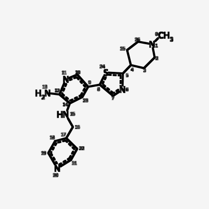 CN1CCC(c2ncc(-c3cnc(N)c(NCc4ccncc4)c3)s2)CC1